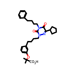 CC(C)(Oc1cccc(CCCCn2nc(C3CCCC3)c(=O)n(CCCCc3ccccc3)c2=O)c1)C(=O)O